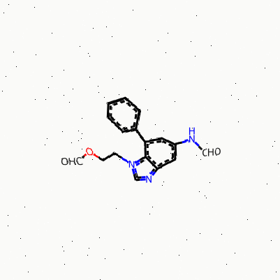 O=CNc1cc(-c2ccccc2)c2c(c1)ncn2CCOC=O